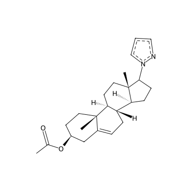 CC(=O)O[C@H]1CC[C@@]2(C)C(=CC[C@@H]3[C@@H]2CC[C@]2(C)C(n4cccn4)CC[C@@H]32)C1